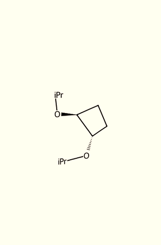 CC(C)O[C@H]1CC[C@@H]1OC(C)C